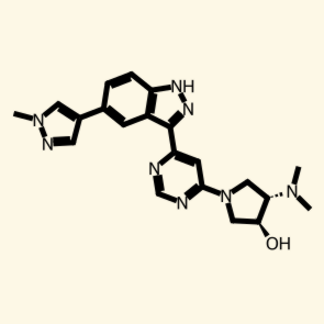 CN(C)[C@H]1CN(c2cc(-c3n[nH]c4ccc(-c5cnn(C)c5)cc34)ncn2)C[C@@H]1O